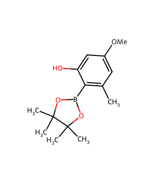 COc1cc(C)c(B2OC(C)(C)C(C)(C)O2)c(O)c1